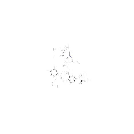 CCCc1cc(Cl)ccc1C1COc2ccc(C(O)C(=O)O)cc2N(CC2C(C)CC2C(/C=C/CC(C)N(C)C(C)=O)OC)C1